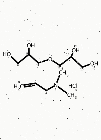 C=CCN(C)C.Cl.OCC(O)COCC(O)CO